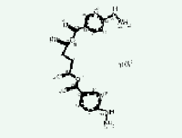 Cl.N=C(CCC(=O)OC(=O)c1ccc(NN)nc1)OC(=O)c1ccc(NN)nc1